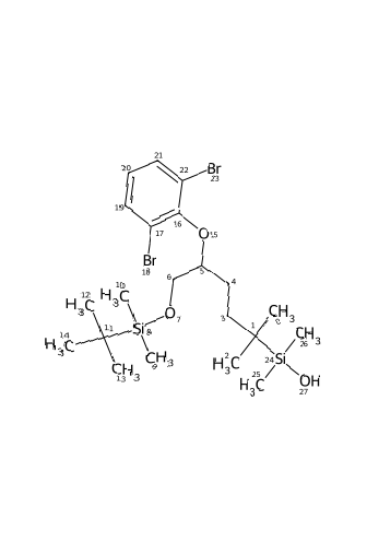 CC(C)(CCC(CO[Si](C)(C)C(C)(C)C)Oc1c(Br)cccc1Br)[Si](C)(C)O